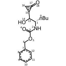 CCCC[C@H](NC(=O)OCc1ccccc1)C(O)c1cc1=O